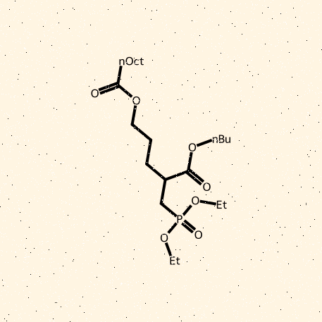 CCCCCCCCC(=O)OCCCC(CP(=O)(OCC)OCC)C(=O)OCCCC